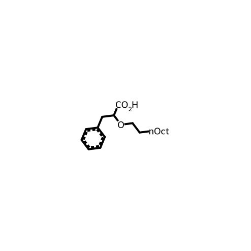 CCCCCCCCCCOC(Cc1ccccc1)C(=O)O